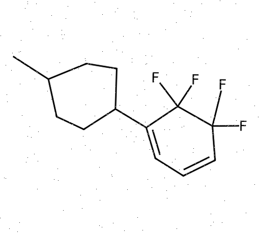 CC1CCC(C2=CC=CC(F)(F)C2(F)F)CC1